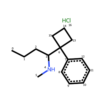 CCCC(NC)C1(c2ccccc2)CCC1.Cl